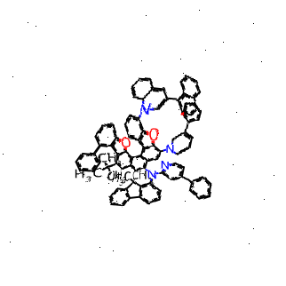 CC(C)(C)c1cc2cc(N(c3cc(-c4ccccc4)ccn3)c3cccc4c3C(C)(C)c3ccccc3-4)c3cc(N4C=CC=C(c5ccccc5)C4)c4oc5c(N6C=C(c7cccc8ccccc78)C=C7C=CC=CC76)cccc5c4c3c2c2oc3cccc(-c4ccccc4)c3c12